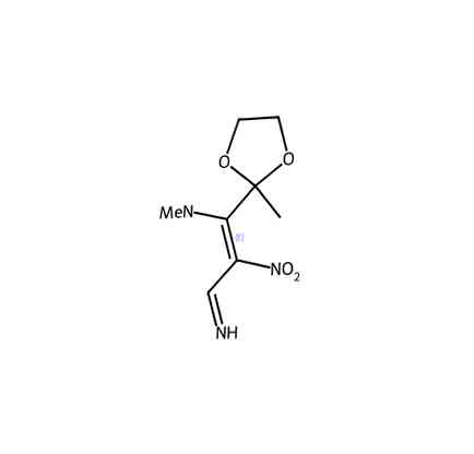 CN/C(=C(\C=N)[N+](=O)[O-])C1(C)OCCO1